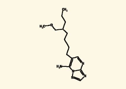 CCCC(CCCCc1cnc2ncnn2c1N)COC